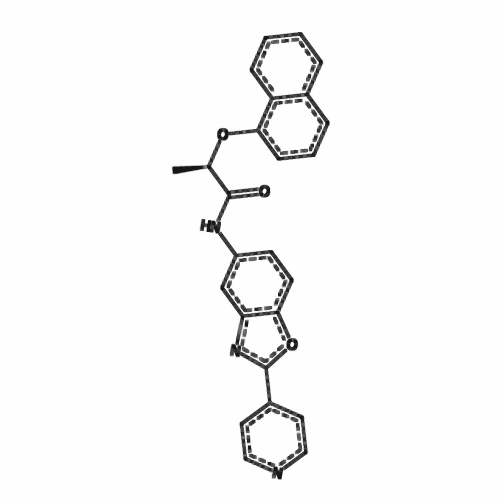 C[C@@H](Oc1cccc2ccccc12)C(=O)Nc1ccc2oc(-c3ccncc3)nc2c1